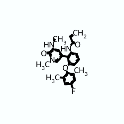 C=CC(=O)Nc1cccc(Oc2c(C)cc(F)cc2C)c1-c1cc(NC)c(=O)n(C)c1